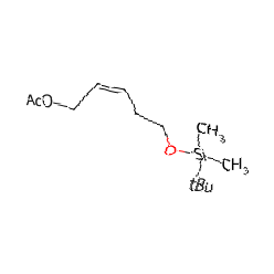 CC(=O)OC/C=C\CCO[Si](C)(C)C(C)(C)C